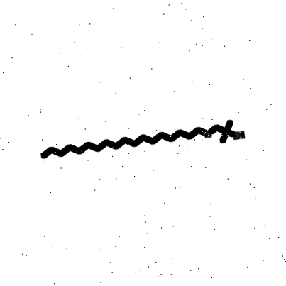 CCCCCCCCCCCCCCCCCCOCC(C)(C)O